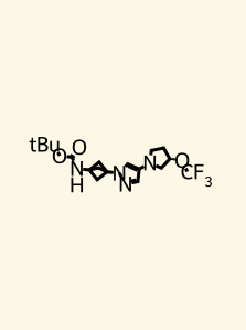 CC(C)(C)OC(=O)NC12CC(n3cc(N4CC[C@@H](OC(F)(F)F)C4)cn3)(C1)C2